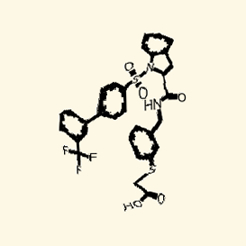 O=C(O)CSc1cccc(CNC(=O)[C@@H]2Cc3ccccc3N2S(=O)(=O)c2ccc(-c3cccc(C(F)(F)F)c3)cc2)c1